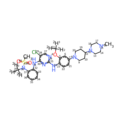 [2H]C([2H])([2H])Oc1cc(N2CCC(N3CCN(C)CC3)CC2)ccc1Nc1ncc(Cl)c(Nc2ccccc2N(C([2H])([2H])[2H])S(C)(=O)=O)n1